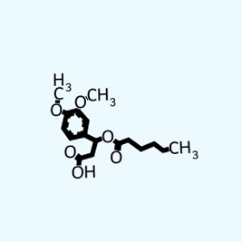 CCCCCC(=O)OC(CC(=O)O)c1ccc(OC)c(OC)c1